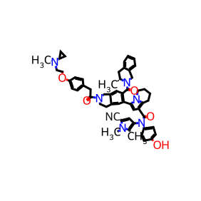 Cc1c(N(C(=O)c2cc(-c3cc4c(cc3C(=O)N3Cc5ccccc5C[C@H]3C)CN(C(=O)Cc3ccc(OCCN(C)C5CC5)cc3)CC4)n3c2CCCC3)c2ccc(O)cc2)cc(C#N)n1C